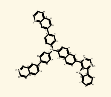 c1cnc2cc(-c3ccc(N(c4ccc(-c5ccc6ccncc6c5)cc4)c4ccc5cc(-c6ncnc7c6sc6ccccc67)ccc5c4)cc3)ccc2c1